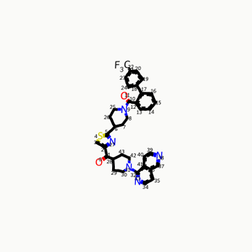 O=C(c1csc(C2CCN(C(=O)c3ccccc3-c3ccc(C(F)(F)F)cc3)CC2)n1)C1CCN(c2nccc3cnccc23)CC1